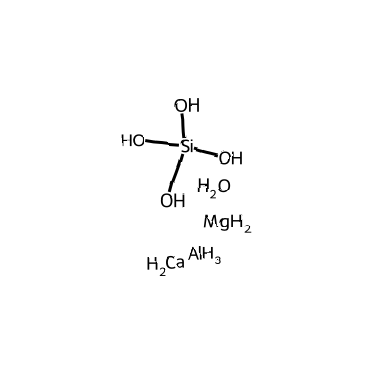 O.O[Si](O)(O)O.[AlH3].[CaH2].[MgH2]